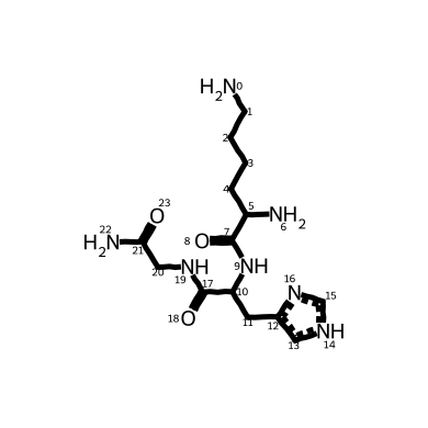 NCCCCC(N)C(=O)NC(Cc1c[nH]cn1)C(=O)NCC(N)=O